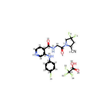 N#CC1CC(F)(F)CN1C(=O)CNC(=O)c1ccncc1Nc1ccc(F)cc1.O=C(O)C(F)(F)F